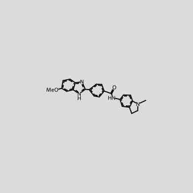 COc1ccc2nc(-c3ccc(C(=O)Nc4ccc5c(c4)CCN5C)cc3)[nH]c2c1